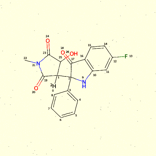 [2H]C1(C2(c3ccccc3)Nc3cc(F)ccc3C2=O)C(=O)N(C)C(=O)C1O